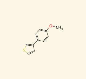 COc1ccc(-c2ccsc2)cc1